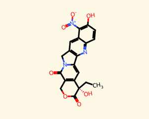 CC[C@@]1(O)C(=O)OCc2c1cc1n(c2=O)Cc2cc3c([N+](=O)[O-])c(O)ccc3nc2-1